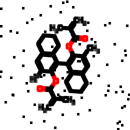 C=C(C)C(=O)Oc1c(C)cc2c(c1-c1c3c(cc(CC)c1OC(=O)C(=C)C)CCCC3)CCCC2